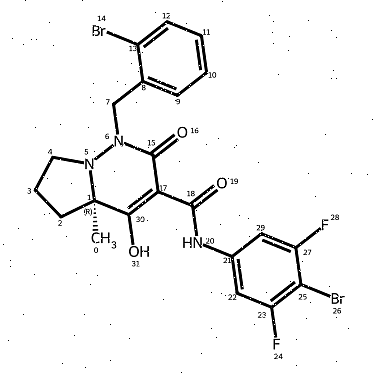 C[C@]12CCCN1N(Cc1ccccc1Br)C(=O)C(C(=O)Nc1cc(F)c(Br)c(F)c1)=C2O